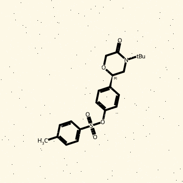 Cc1ccc(S(=O)(=O)Oc2ccc([C@@H]3CN(C(C)(C)C)C(=O)CO3)cc2)cc1